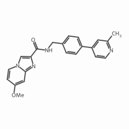 COc1ccn2cc(C(=O)NCc3ccc(-c4ccnc(C)c4)cc3)nc2c1